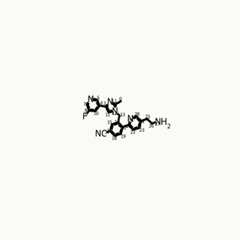 Cc1nc(-c2cncc(F)c2)cn1Cc1cc(C#N)ccc1-c1ccc(CCN)cn1